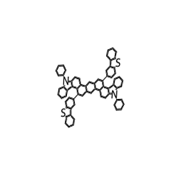 c1ccc(-n2c3ccccc3c3c4c(-c5ccc6sc7ccccc7c6c5)cc5cc6c(cc(-c7ccc8sc9ccccc9c8c7)c7c6ccc6c7c7ccccc7n6-c6ccccc6)cc5c4ccc32)cc1